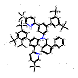 CC(C)c1c(-c2cc(-c3ccc([Si](C)(C)C)cn3)cc(N(Cc3ccccc3-c3ccccc3)c3cc(-c4cc(C(C)(C)C)cc(C(C)(C)C)c4)cc(-c4ccc([Si](C)(C)C)cn4)c3)c2)cc(C(C)(C)C)cc1C(C)(C)C